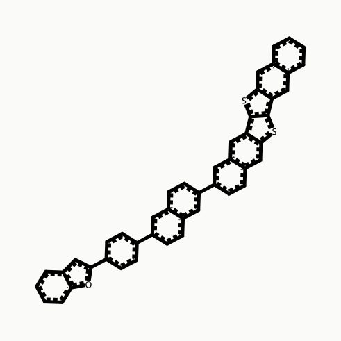 c1ccc2cc3c(cc2c1)sc1c2cc4cc(-c5ccc6cc(-c7ccc(-c8cc9ccccc9o8)cc7)ccc6c5)ccc4cc2sc31